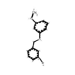 COc1cccc(OCc2cccc(Br)c2)c1